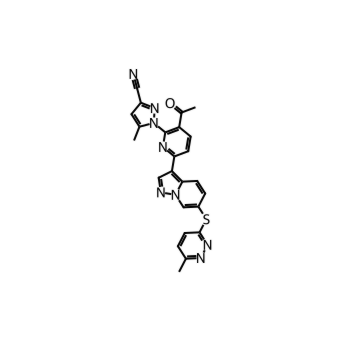 CC(=O)c1ccc(-c2cnn3cc(Sc4ccc(C)nn4)ccc23)nc1-n1nc(C#N)cc1C